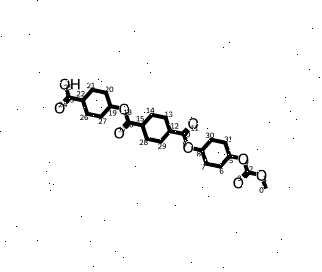 COC(=O)OC1CCC(OC(=O)C2CCC(C(=O)OC3CCC(C(=O)O)CC3)CC2)CC1